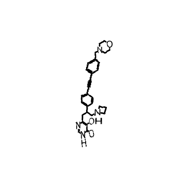 O=c1[nH]cnc(CC(CN2CCC2)c2ccc(C#Cc3ccc(CN4CCOCC4)cc3)cc2)c1O